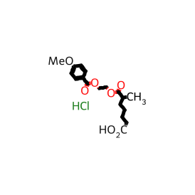 COc1ccc(C(=O)OCCOC(=O)C(C)CCCCC(=O)O)cc1.Cl